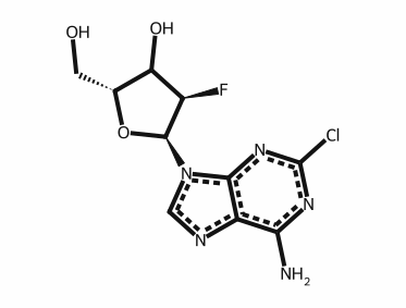 Nc1nc(Cl)nc2c1ncn2[C@H]1O[C@H](CO)C(O)[C@H]1F